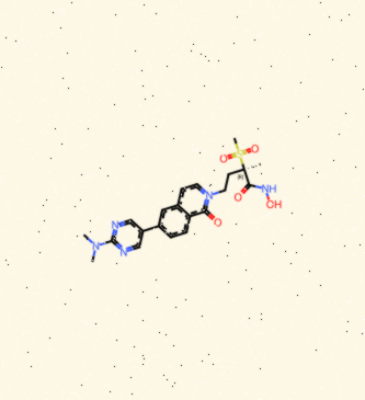 CN(C)c1ncc(-c2ccc3c(=O)n(CC[C@](C)(C(=O)NO)S(C)(=O)=O)ccc3c2)cn1